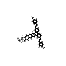 CCCCCCCCc1c(CCCCCCCC)c2cc(C=Cc3ccc(Br)cc3)ccc2c2ccc(C=Cc3ccc(Br)cc3)cc12